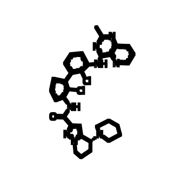 Cc1nc(Nc2cccc(-c3cccc(NC(=O)c4cc5n(n4)CCC[C@H]5N4CCCCC4)c3Cl)c2Cl)c2ncccc2n1